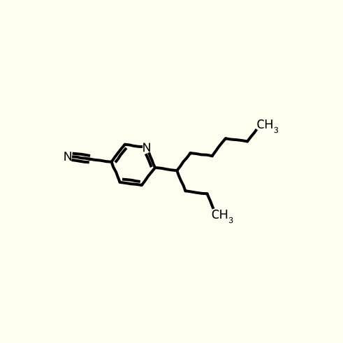 CCCCCC(CCC)c1ccc(C#N)cn1